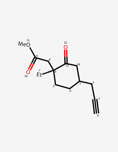 C#CCC1CCC(CC)(CC(=O)OC)C(=O)C1